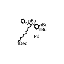 CCCCCCCCCCCCCCCCCCCCC(=N\c1ccc(CCCC)c(CCCC)c1)/C(CCCC)=N/c1ccccc1.[Pd]